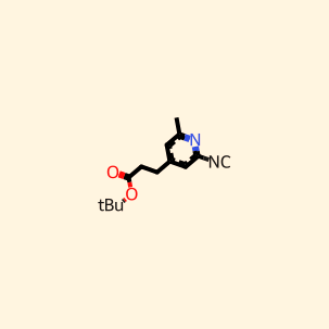 [C-]#[N+]c1cc(CCC(=O)OC(C)(C)C)cc(C)n1